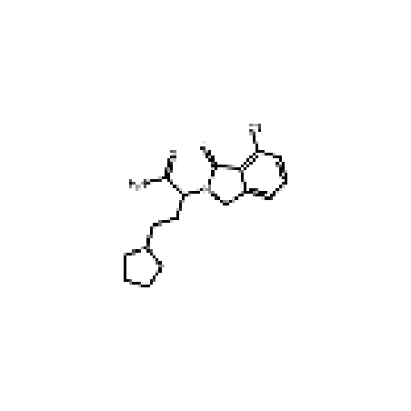 N#Cc1cccc2c1C(=O)N(C(CCC1CCCC1)C(N)=O)C2